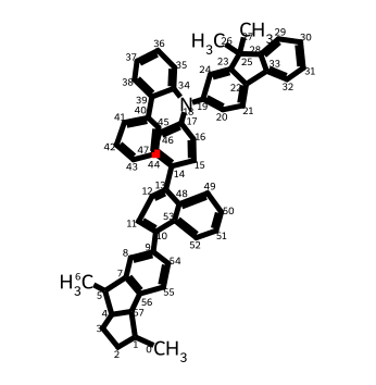 CC1CCC2C(C)c3cc(-c4ccc(-c5ccc(N(c6ccc7c(c6)C(C)(C)c6ccccc6-7)c6ccccc6-c6ccccc6)cc5)c5ccccc45)ccc3C12